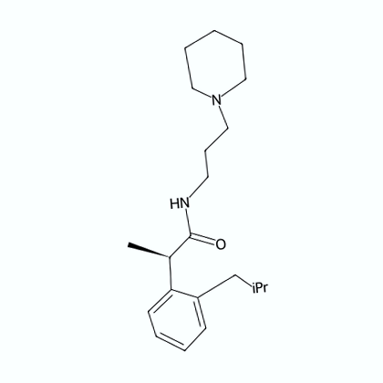 CC(C)Cc1ccccc1[C@@H](C)C(=O)NCCCN1CCCCC1